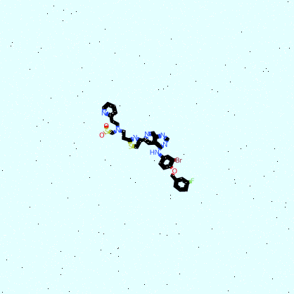 O=S(=O)=CN(CCc1ccccn1)CCc1nc(-c2cc3c(Nc4ccc(OCc5cccc(F)c5)c(Br)c4)ncnc3cn2)cs1